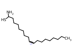 CCCCCCCC/C=C\CCCCCCCC(N)S